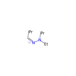 CCN(/N=C\C(C)C)C(C)C